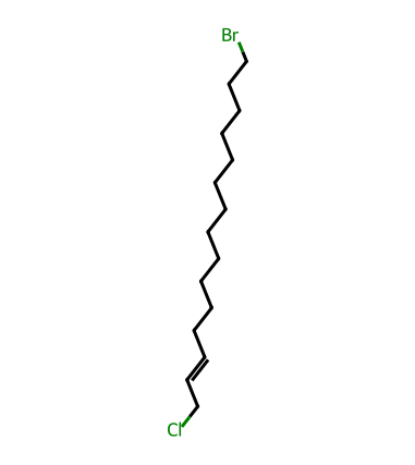 ClCC=CCCCCCCCCCCCCBr